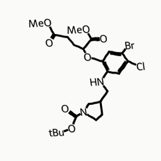 COC(=O)CCC(Oc1cc(Br)c(Cl)cc1NCC1CCN(C(=O)OC(C)(C)C)C1)C(=O)OC